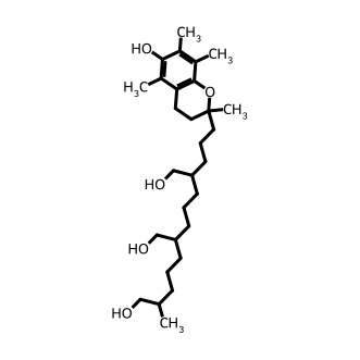 Cc1c(C)c2c(c(C)c1O)CCC(C)(CCCC(CO)CCCC(CO)CCCC(C)CO)O2